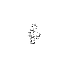 c1nc2c(N[C@H]3CCSC3)nc(Nc3ccc(N4CCSCC4)cc3)nc2[nH]1